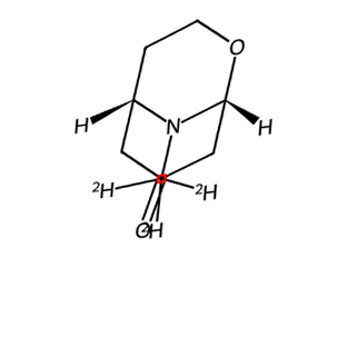 [2H]C([2H])([2H])N1[C@H]2CCO[C@@H]1CC(=O)C2